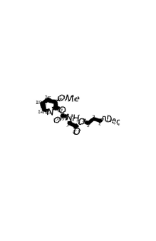 CCCCCCCCCCCCCOC(=O)CNC(=O)Oc1ncccc1OC